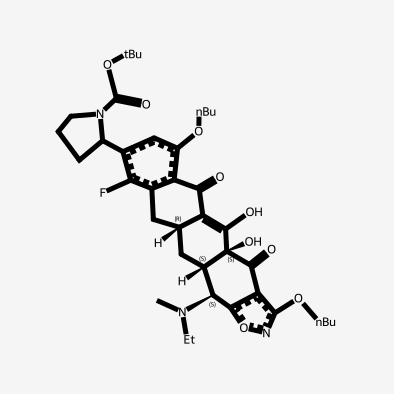 CCCCOc1cc(C2CCCN2C(=O)OC(C)(C)C)c(F)c2c1C(=O)C1=C(O)[C@]3(O)C(=O)c4c(OCCCC)noc4[C@@H](N(C)CC)[C@@H]3C[C@@H]1C2